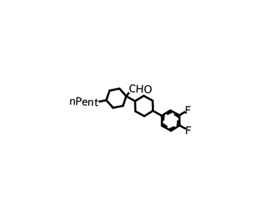 CCCCCC1CCC(C=O)(C2CCC(c3ccc(F)c(F)c3)CC2)CC1